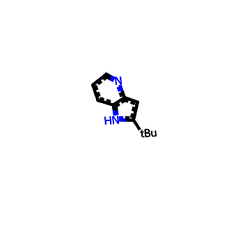 CC(C)(C)c1cc2ncccc2[nH]1